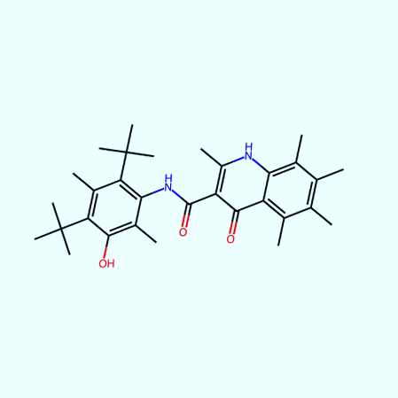 Cc1[nH]c2c(C)c(C)c(C)c(C)c2c(=O)c1C(=O)Nc1c(C)c(O)c(C(C)(C)C)c(C)c1C(C)(C)C